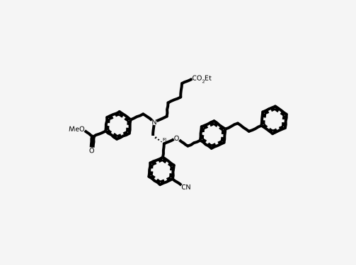 CCOC(=O)CCCCN(Cc1ccc(C(=O)OC)cc1)C[C@H](OCc1ccc(CCc2ccccc2)cc1)c1cccc(C#N)c1